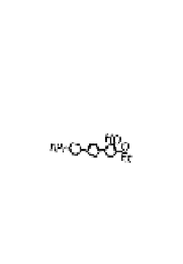 CCCC1CCC(c2ccc(-c3ccc(C(=O)CC)c(O)c3)cc2)CC1